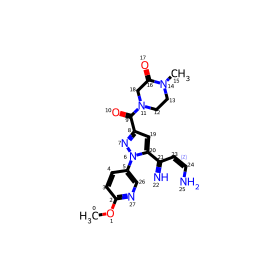 COc1ccc(-n2nc(C(=O)N3CCN(C)C(=O)C3)cc2C(=N)/C=C\N)cn1